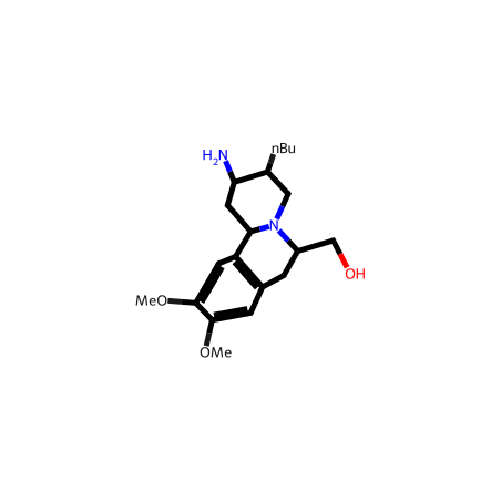 CCCCC1CN2C(CO)Cc3cc(OC)c(OC)cc3C2CC1N